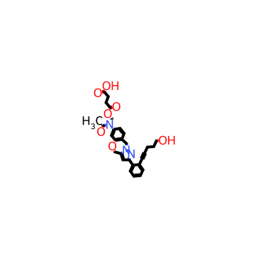 CC(=O)N(COC(=O)CCC(=O)O)c1ccc2c(c1)OCc1cc(-c3ccccc3C#CCCCO)nn1C2